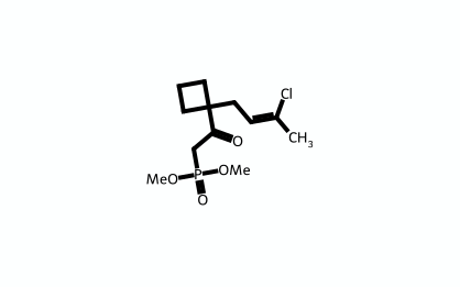 COP(=O)(CC(=O)C1(CC=C(C)Cl)CCC1)OC